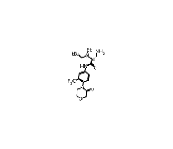 CCN(CC(C)(C)C)[C@H](CN)C(=O)Nc1ccc(N2CCOCC2=O)c(C(F)(F)F)c1